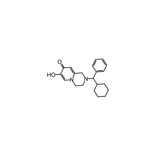 O=c1cc2n(cc1O)CCN(C(c1ccccc1)C1CCCCC1)C2